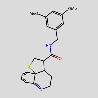 COc1cc(CNC(=O)C2CSC34C=CC=CC3=NCCC24)cc(OC)c1